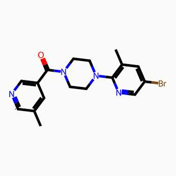 Cc1[c]ncc(C(=O)N2CCN(c3ncc(Br)cc3C)CC2)c1